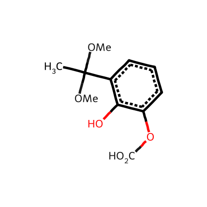 COC(C)(OC)c1cccc(OC(=O)O)c1O